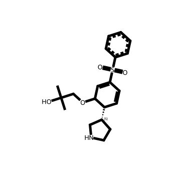 CC(C)(O)COC1C=C(S(=O)(=O)c2ccccc2)C=CC1[C@@H]1CCNC1